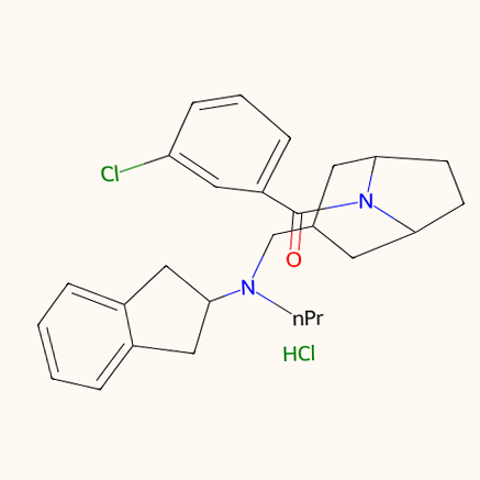 CCCN(CC1CC2CCC(C1)N2C(=O)c1cccc(Cl)c1)C1Cc2ccccc2C1.Cl